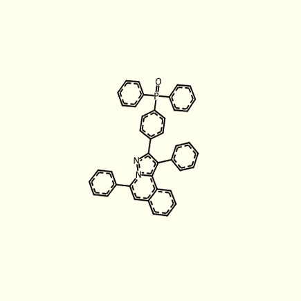 O=P(c1ccccc1)(c1ccccc1)c1ccc(-c2nn3c(-c4ccccc4)cc4ccccc4c3c2-c2ccccc2)cc1